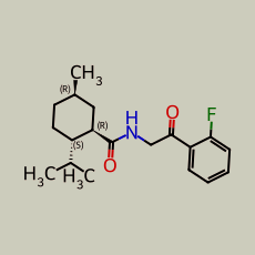 CC(C)[C@@H]1CC[C@@H](C)C[C@H]1C(=O)NCC(=O)c1ccccc1F